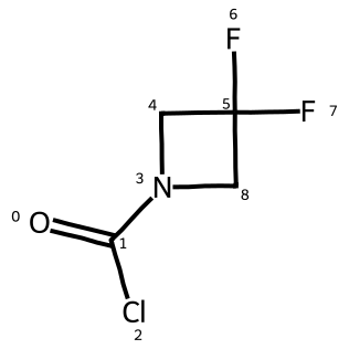 O=C(Cl)N1CC(F)(F)C1